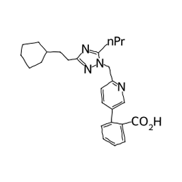 CCCc1nc(CCC2CCCCC2)nn1Cc1ccc(-c2ccccc2C(=O)O)cn1